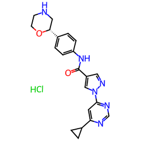 Cl.O=C(Nc1ccc([C@H]2CNCCO2)cc1)c1cnn(-c2cc(C3CC3)ncn2)c1